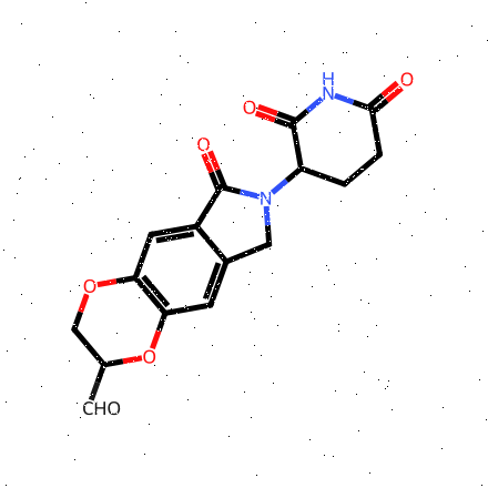 O=CC1COc2cc3c(cc2O1)CN(C1CCC(=O)NC1=O)C3=O